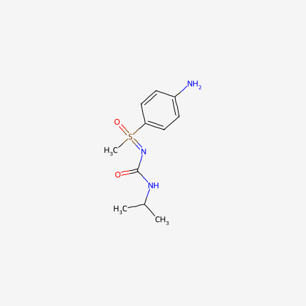 CC(C)NC(=O)N=S(C)(=O)c1ccc(N)cc1